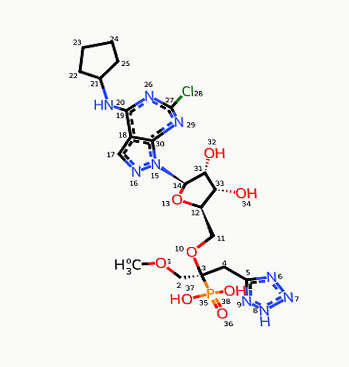 COC[C@@](Cc1nn[nH]n1)(OC[C@H]1O[C@@H](n2ncc3c(NC4CCCC4)nc(Cl)nc32)[C@H](O)[C@@H]1O)P(=O)(O)O